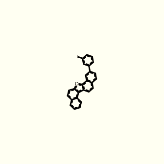 Ic1cccc(-c2ccc3ccc4c(oc5ccc6ccccc6c54)c3c2)c1